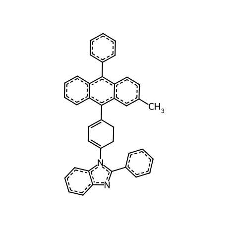 Cc1ccc2c(-c3ccccc3)c3ccccc3c(C3=CC=C(n4c(-c5ccccc5)nc5ccccc54)CC3)c2c1